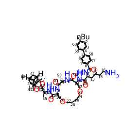 CCCCc1ccc(-c2ccc(C(=O)NC(CCCCN)C(=O)N[C@H]3COCCCCOC[C@@H](C(=O)N[C@@H](C)B4O[C@@H]5C[C@@H]6C[C@@H](C6(C)C)[C@]5(C)O4)NC(=O)[C@H](C)NC3=O)cc2)cc1